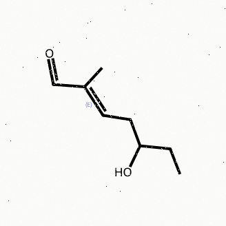 CCC(O)C/C=C(\C)C=O